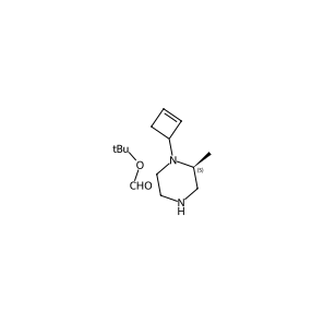 CC(C)(C)OC=O.C[C@H]1CNCCN1C1C=CC1